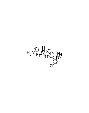 Nc1nccc(-c2[nH]c([C@@H]3CCC4CCC(c5cc(Cl)ccc5-n5cnnn5)=CC(=O)N43)nc2F)c1F